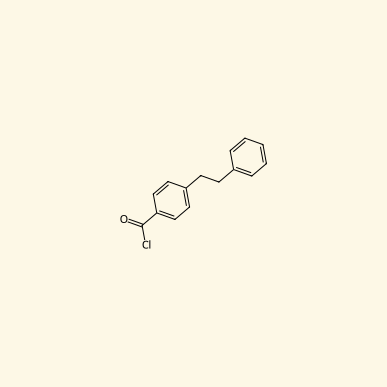 O=C(Cl)c1ccc(CCc2ccccc2)cc1